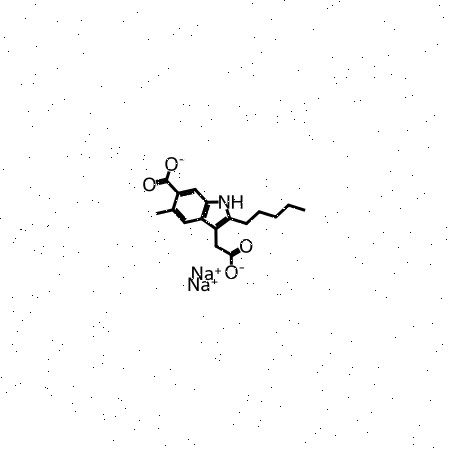 CCCCCc1[nH]c2cc(C(=O)[O-])c(C)cc2c1CC(=O)[O-].[Na+].[Na+]